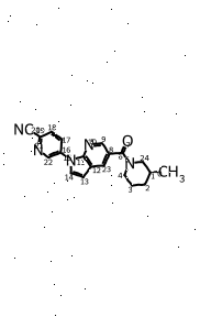 C[C@H]1CCCN(C(=O)c2cnc3c(ccn3-c3ccc(C#N)nc3)c2)C1